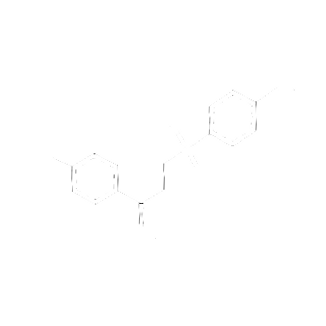 C=C(CCS(=O)(=O)c1ccc(C)cc1)c1ccc(C)cc1